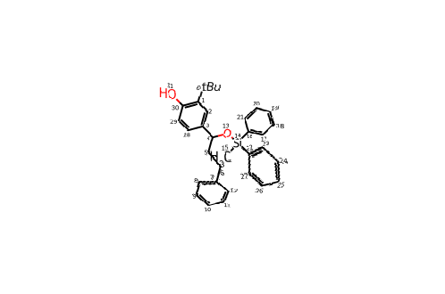 CC(C)(C)c1cc(C(CCc2ccccc2)O[Si](C)(c2ccccc2)c2ccccc2)ccc1O